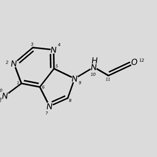 Nc1ncnc2c1ncn2NC=O